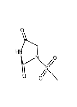 CS(=O)(=O)N1CC(=O)NC1=O